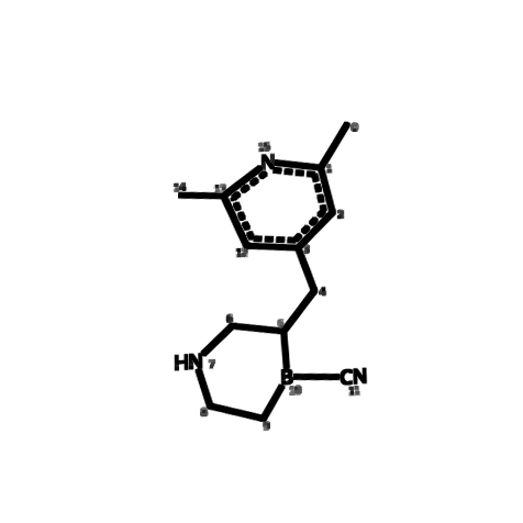 Cc1cc(CC2CNCCB2C#N)cc(C)n1